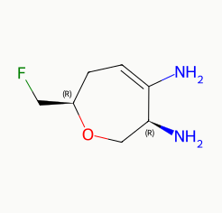 NC1=CC[C@H](CF)OC[C@@H]1N